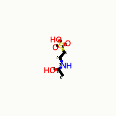 CC(O)NCCS(=O)(=O)O